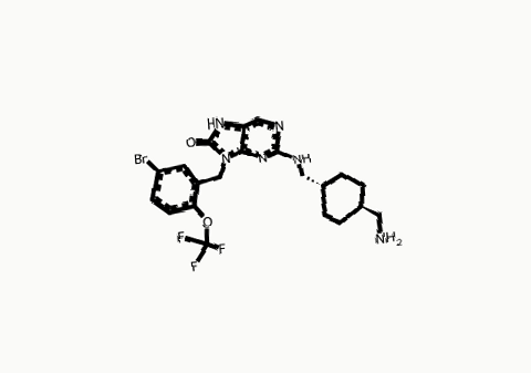 NC[C@H]1CC[C@H](CNc2ncc3[nH]c(=O)n(Cc4cc(Br)ccc4OC(F)(F)F)c3n2)CC1